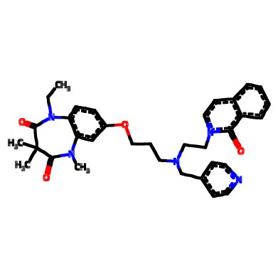 CCN1C(=O)C(C)(C)C(=O)N(C)c2cc(OCCCN(CCn3ccc4ccccc4c3=O)Cc3ccncc3)ccc21